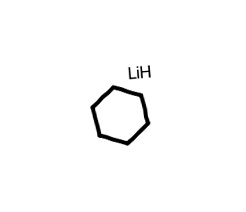 C1CCCCC1.[LiH]